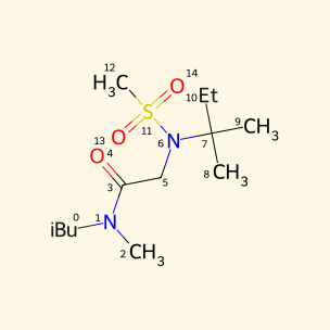 CCC(C)N(C)C(=O)CN(C(C)(C)CC)S(C)(=O)=O